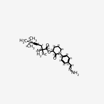 CC(=O)C(N)(CC#C[Si](C)(C)C)C(=O)OC1CCCN(c2ccc(C=NN)cc2)C1=O